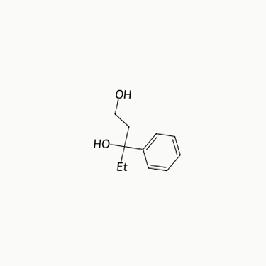 CCC(O)(CCO)c1ccccc1